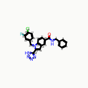 O=C(NCc1ccccc1)c1ccc2c(c1)cc(-c1nnn[nH]1)n2Cc1ccc(Cl)c(F)c1